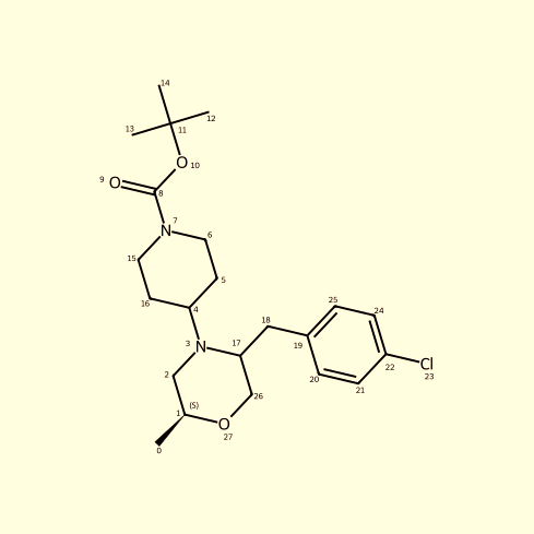 C[C@H]1CN(C2CCN(C(=O)OC(C)(C)C)CC2)C(Cc2ccc(Cl)cc2)CO1